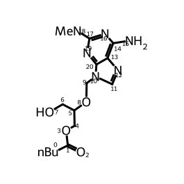 CCCCC(=O)OCC(CO)OCn1cnc2c(N)nc(NC)nc21